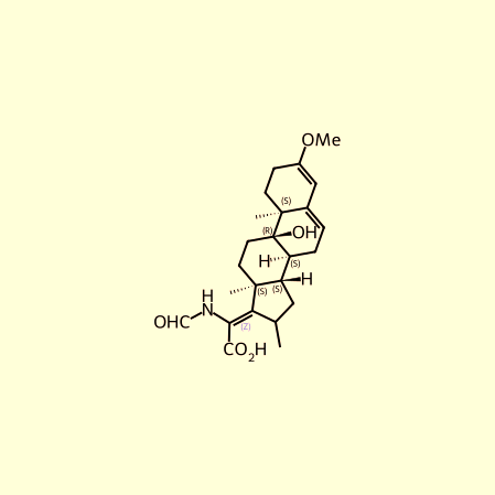 COC1=CC2=CC[C@H]3[C@@H]4CC(C)/C(=C(/NC=O)C(=O)O)[C@@]4(C)CC[C@]3(O)[C@@]2(C)CC1